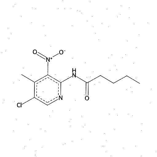 CCCCC(=O)Nc1ncc(Cl)c(C)c1[N+](=O)[O-]